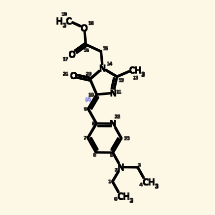 CCN(CC)c1ccc(/C=C2\N=C(C)N(CC(=O)OC)C2=O)nc1